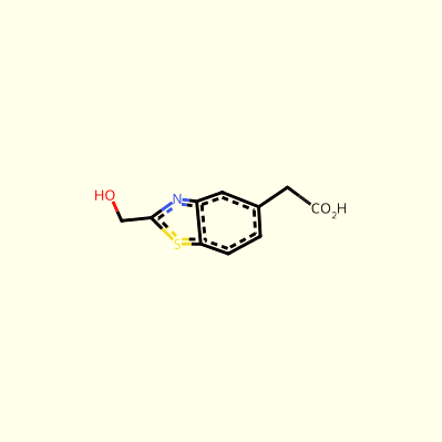 O=C(O)Cc1ccc2sc(CO)nc2c1